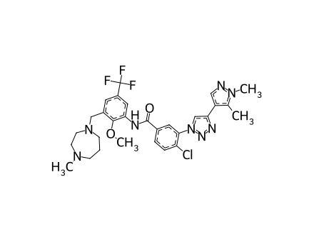 COc1c(CN2CCCN(C)CC2)cc(C(F)(F)F)cc1NC(=O)c1ccc(Cl)c(-n2cc(-c3cnn(C)c3C)nn2)c1